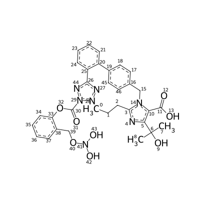 CCCc1nc(C(C)(C)O)c(C(=O)O)n1Cc1ccc(-c2ccccc2-c2nnn(C(=O)Oc3ccccc3CON(O)O)n2)cc1